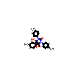 Cc1ccc(N2C(=O)N(c3ccc(C#N)cc3)C3(COC3)C2(O)C2C=CC=C(C#N)C2)cc1